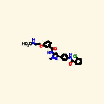 Cn1nc(-c2ccc(NC(=O)c3ccccc3Cl)cc2)cc1NC(=O)c1cccc(OCCNC(=O)O)c1